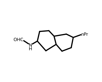 CCCC1CCC2CC(NC=O)CCC2C1